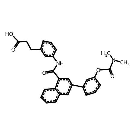 CN(C)C(=O)Oc1cccc(-c2cc(C(=O)Nc3cccc(CCC(=O)O)c3)c3ccccc3c2)c1